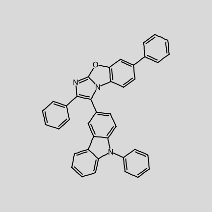 c1ccc(-c2ccc3c(c2)oc2nc(-c4ccccc4)c(-c4ccc5c(c4)c4ccccc4n5-c4ccccc4)n23)cc1